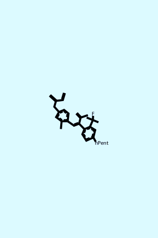 C=CC(=C)Cc1ccc(/C=C(\C(=C)C)c2ccc(CCCCC)cc2C(C)(C)F)c(C)c1